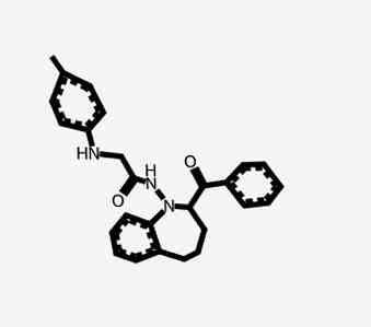 Cc1ccc(NCC(=O)NN2c3ccccc3CCCC2C(=O)c2ccccc2)cc1